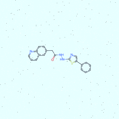 O=C(Cc1ccc2ncccc2c1)NNc1ncc(-c2ccccc2)s1